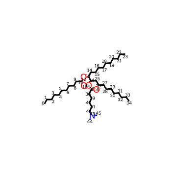 CCCCCCCCCCC(=O)OC(CCCCCCCCCC)C(CCCCCCCCCC)OC(=O)CCCCCN(C)C